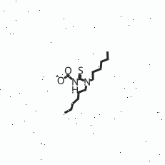 CCCCCCN(CCCCCC)C(=S)NC(=O)OC